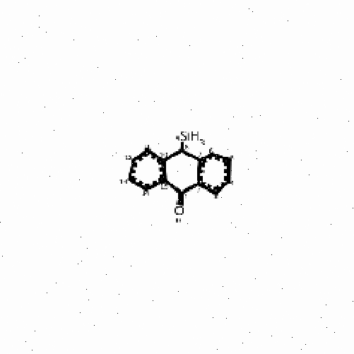 O=C1c2ccccc2C([SiH3])c2ccccc21